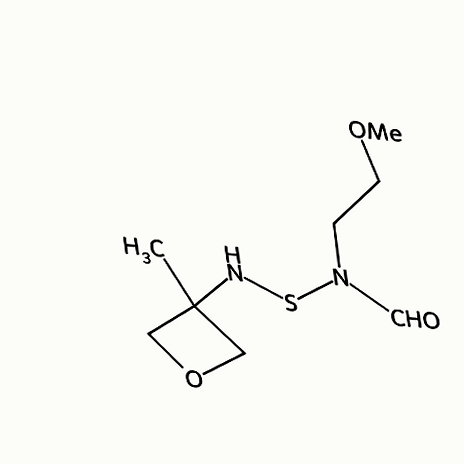 COCCN(C=O)SNC1(C)COC1